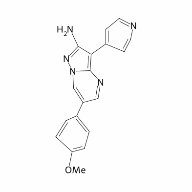 COc1ccc(-c2cnc3c(-c4ccncc4)c(N)nn3c2)cc1